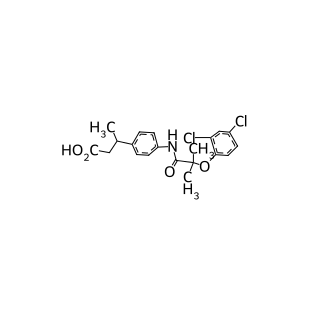 CC(CC(=O)O)c1ccc(NC(=O)C(C)(C)Oc2ccc(Cl)cc2Cl)cc1